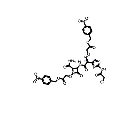 NC(=O)C1C(NC(=O)/C(=N/OCC(=O)OCc2ccc([N+](=O)[O-])cc2)c2csc(NC(=O)CCl)n2)C(=O)N1OCC(=O)OCc1ccc([N+](=O)[O-])cc1